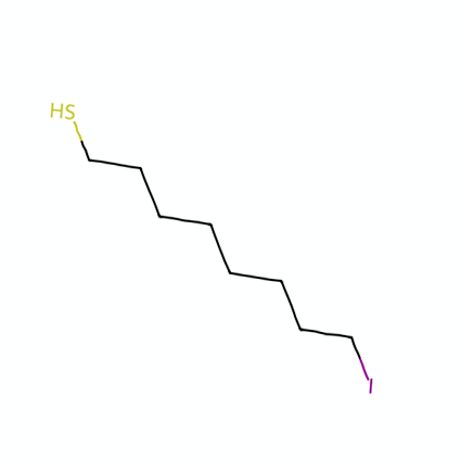 SCCCCCCCCI